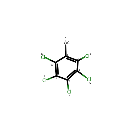 [CH2]C(=O)c1c(Cl)c(Cl)c(Cl)c(Cl)c1Cl